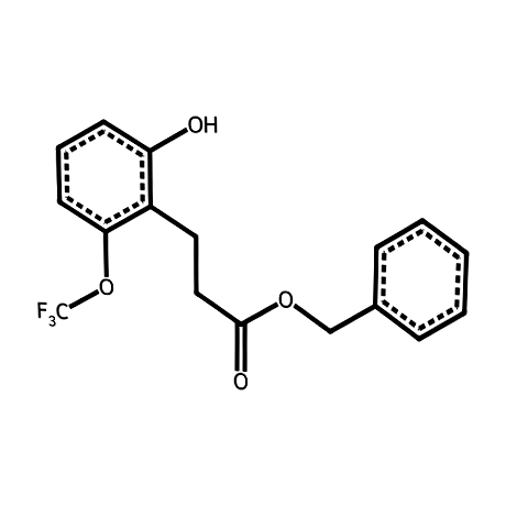 O=C(CCc1c(O)cccc1OC(F)(F)F)OCc1ccccc1